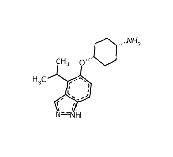 CC(C)c1c(O[C@H]2CC[C@@H](N)CC2)ccc2[nH]ncc12